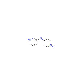 CN1CCC(N(C)C2=[C]NCC=C2)CC1